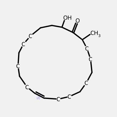 CC1CCCCCCC/C=C\CCCCCCCCC(O)C1=O